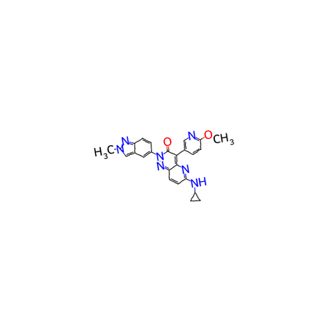 COc1ccc(-c2c(=O)n(-c3ccc4nn(C)cc4c3)nc3ccc(NC4CC4)nc23)cn1